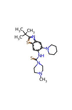 CN1CCN(C(=S)Nc2cc3sc(C(C)(C)C)nc3cc2N2CCCCC2)CC1